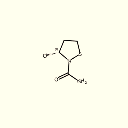 NC(=O)N1SCC[C@H]1Cl